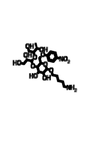 C[C@@H](O)C(CO)OC(OC1C(COc2ccc([N+](=O)[O-])cc2)OC(OCCCCCN)C(O)C1O)[C@@H](O)CO